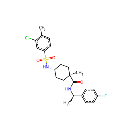 C[C@@H](NC(=O)[C@]1(C)CC[C@@H](NS(=O)(=O)c2ccc(C(F)(F)F)c(Cl)c2)CC1)c1ccc(F)cc1